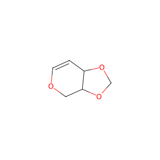 C1=CC2OCOC2CO1